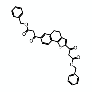 O=C(CC(=O)c1ccc2c(c1)CCc1cc(C(=O)CC(=O)OCc3ccccc3)sc1-2)OCc1ccccc1